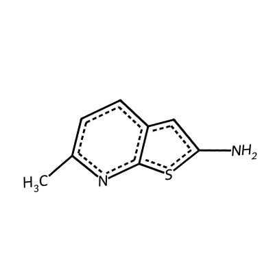 Cc1ccc2cc(N)sc2n1